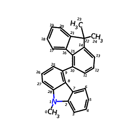 Cn1c2ccccc2c2c(-c3cccc4c3-c3ccccc3C4(C)C)cccc21